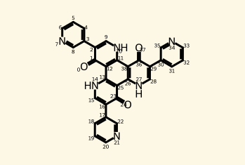 O=c1c(-c2cccnc2)c[nH]c2c1c1[nH]cc(-c3cccnc3)c(=O)c1c1[nH]cc(-c3cccnc3)c(=O)c21